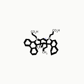 C=CCC1(CC=C)/C(=C\C2=[N+](CCC(=O)O)c3c(c4ccccc4c4ccccc34)C2(C)C)N(CCC(=O)O)c2ccc3ccccc3c21